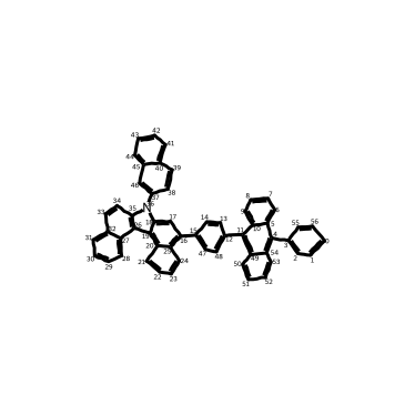 c1ccc(-c2c3ccccc3c(-c3ccc(-c4cc5c(c6ccccc46)c4c6ccccc6ccc4n5-c4ccc5ccccc5c4)cc3)c3ccccc23)cc1